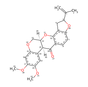 C=C(C)C1Cc2c(ccc3c2O[C@@H]2COc4cc(OC)c(OC)cc4[C@@H]2C3=O)O1